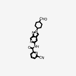 N#Cc1cccc(C(=O)Nc2cc3cn(C4CCC(C=O)CC4)nc3cn2)n1